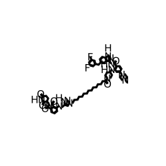 CN1CCN(c2ccc(C(=O)Nc3n[nH]c4ccc(Cc5cc(F)cc(F)c5)cc34)c(NC3CCN(C(=O)CCCCCCCCCCCCCCn4cc(CNc5cccc6c5C(=O)N(C5CCC(=O)NC5=O)C6=O)nn4)CC3)c2)CC1